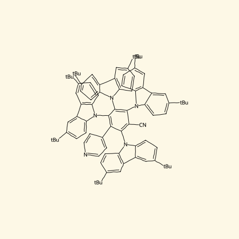 CC(C)(C)c1ccc2c(c1)c1cc(C(C)(C)C)ccc1n2-c1c(C#N)c(-n2c3ccc(C(C)(C)C)cc3c3cc(C(C)(C)C)ccc32)c(-n2c3ccc(C(C)(C)C)cc3c3cc(C(C)(C)C)ccc32)c(-n2c3ccc(C(C)(C)C)cc3c3cc(C(C)(C)C)ccc32)c1-c1ccncc1